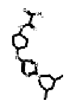 CC1CC(C)CN(c2ncc(NC3CCC(NC(=O)C(N)=O)CC3)cn2)C1